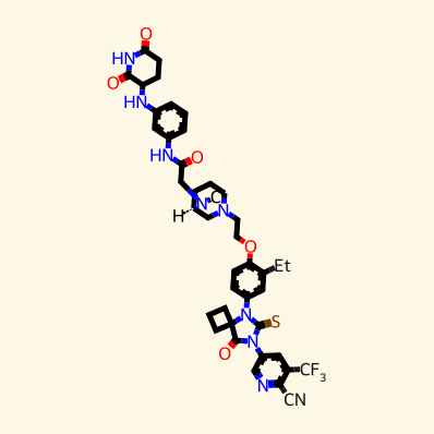 CCc1cc(N2C(=S)N(c3cnc(C#N)c(C(F)(F)F)c3)C(=O)C23CCC3)ccc1OCCN1C[C@H]2CCC1CN2CC(=O)Nc1cccc(NC2CCC(=O)NC2=O)c1